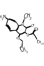 CCOc1c(OC(C)=O)c(=O)n(C)c2cc(N)ccc12